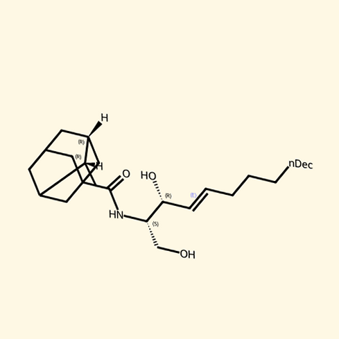 CCCCCCCCCCCCC/C=C/[C@@H](O)[C@H](CO)NC(=O)C12CC3CC(C1)[C@@H](C)[C@H](C3)C2